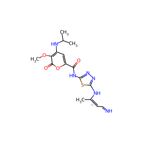 COc1c(NC(C)C)cc(C(=O)Nc2nnc(N/C(C)=C\C=N)s2)oc1=O